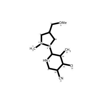 COCC1CN(C)N(C2NCC(C#N)C(Cl)C2C)C1